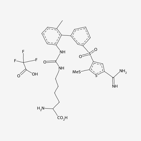 CSc1sc(C(=N)N)cc1S(=O)(=O)c1cccc(-c2c(C)cccc2NC(=O)NCCCCC(N)C(=O)O)c1.O=C(O)C(F)(F)F